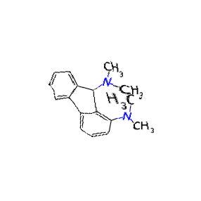 CN(C)c1cccc2c1C(N(C)C)c1ccccc1-2